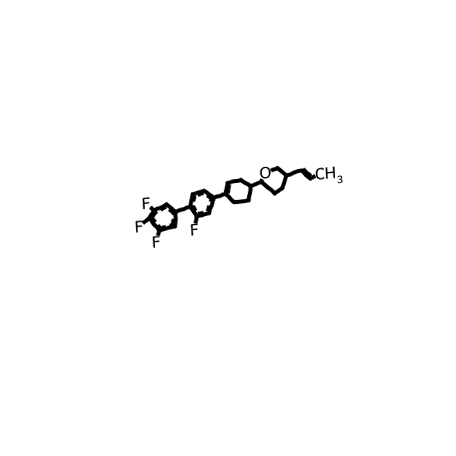 C/C=C/C1CCC(C2CC=C(c3ccc(-c4cc(F)c(F)c(F)c4)c(F)c3)CC2)OC1